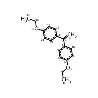 C=C(c1ccc(OCC)cc1)c1ccc(OCC)cc1